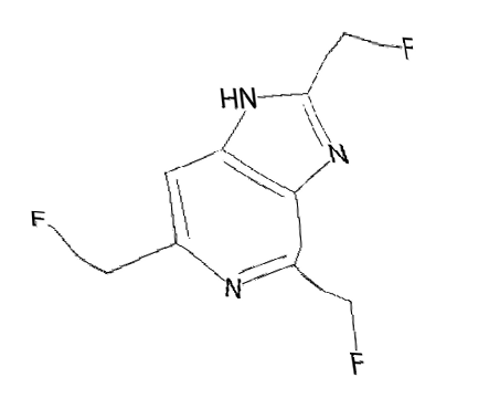 FCc1cc2[nH]c(CF)nc2c(CF)n1